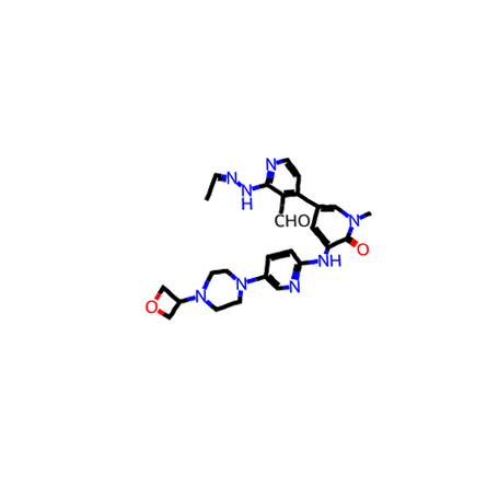 C/C=N\Nc1nccc(-c2cc(Nc3ccc(N4CCN(C5COC5)CC4)cn3)c(=O)n(C)c2)c1C=O